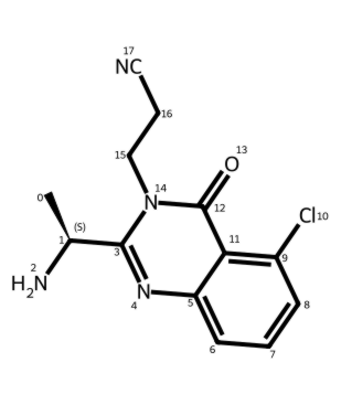 C[C@H](N)c1nc2cccc(Cl)c2c(=O)n1CCC#N